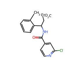 CCOC(=O)CC(NC(=O)c1ccnc(Cl)c1)c1ccccc1C